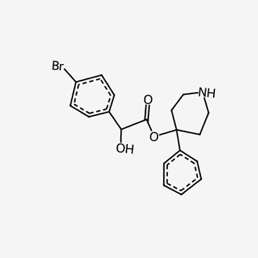 O=C(OC1(c2ccccc2)CCNCC1)C(O)c1ccc(Br)cc1